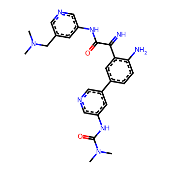 CN(C)Cc1cncc(NC(=O)C(=N)c2cc(-c3cncc(NC(=O)N(C)C)c3)ccc2N)c1